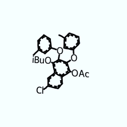 CC(=O)Oc1c(Oc2cccc(C)c2)c(Oc2cccc(C)c2)c(OCC(C)C)c2cc(Cl)ccc12